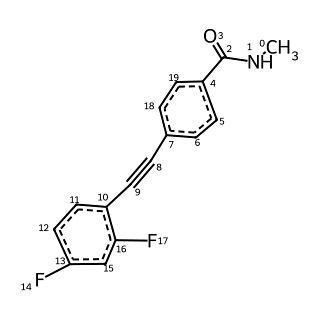 CNC(=O)c1ccc(C#Cc2ccc(F)cc2F)cc1